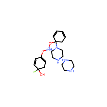 C1CNCCN1.OC1(F)C=CC(ONOC2(N3CCNCC3)C=CC=CC2)=CC1